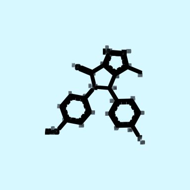 COc1ccc(N2C(=O)c3[nH]nc(C)c3C2c2ccc(F)cc2)cc1